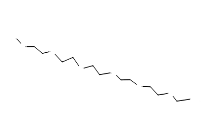 CCOCCOCCOCCOCCOCCO[SiH3]